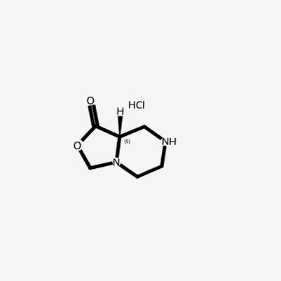 Cl.O=C1OCN2CCNC[C@@H]12